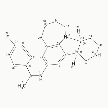 CC(Nc1cc2c3c(c1)[C@@H]1CNCC[C@@H]1N3CCSC2)c1ccc(F)cc1